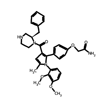 COc1cccc(-n2c(C)cc(C(=O)N3CCNC[C@H]3Cc3ccccc3)c2-c2ccc(OCC(N)=O)cc2)c1OC